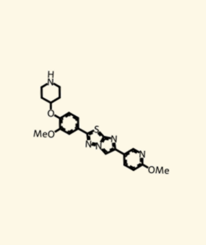 COc1ccc(-c2cn3nc(-c4ccc(OC5CCNCC5)c(OC)c4)sc3n2)cn1